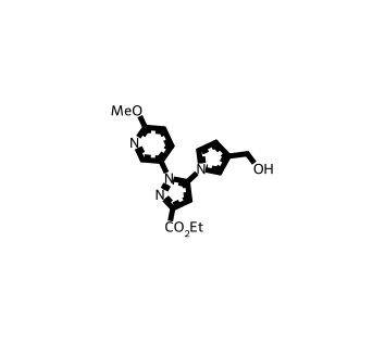 CCOC(=O)c1cc(-n2ccc(CO)c2)n(-c2ccc(OC)nc2)n1